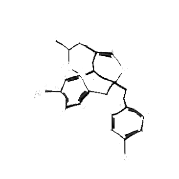 CC1CC2=CSC(Cc3ccc(Br)cc3)(Cc3ccc(Br)cc3)C2OO1